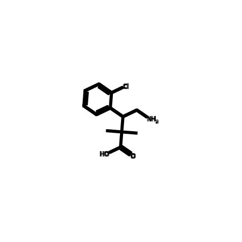 CC(C)(C(=O)O)C(CN)c1ccccc1Cl